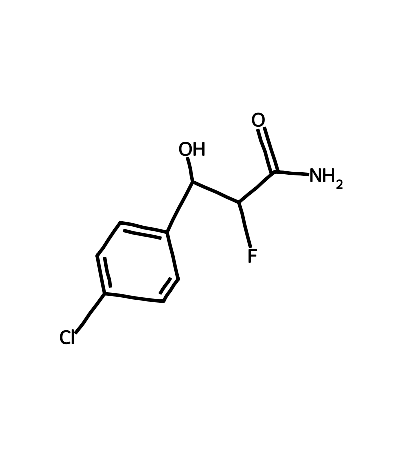 NC(=O)C(F)C(O)c1ccc(Cl)cc1